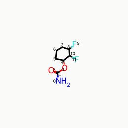 NC(=O)OC1CCCC(F)C1F